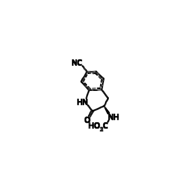 N#Cc1ccc2c(c1)NC(=O)[C@H](NC(=O)O)C2